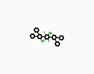 Fc1c(Br)c(-c2cc(-c3ccccc3)c(-c3ccccc3)cc2Br)c(F)c(Br)c1-c1cc(-c2ccccc2)c(-c2ccccc2)cc1Br